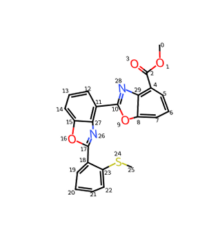 COC(=O)c1cccc2oc(-c3cccc4oc(-c5ccccc5SC)nc34)nc12